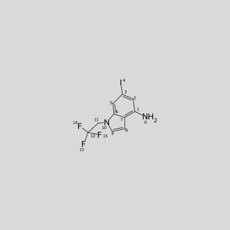 Nc1cc(I)cc2c1ccn2CC(F)(F)F